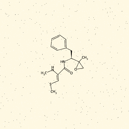 CN/C(=C\SC)C(=O)N[C@@H](Cc1ccccc1)C1(C)CO1